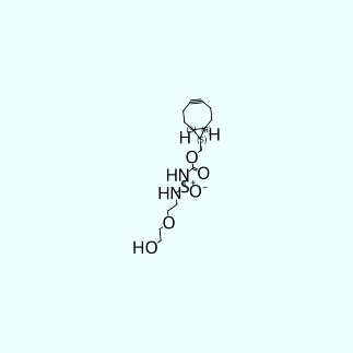 O=C(N[S+]([O-])NCCOCCO)OC[C@@H]1[C@@H]2CCC#CCC[C@@H]21